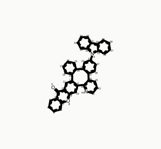 O=c1c2ccccc2oc2cc3c(cc12)-c1ccccc1-c1cc(-n2c4ccccc4c4ccccc42)ccc1-c1cccnc1-3